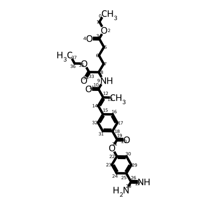 CCOC(=O)CCCC(NC(=O)/C(C)=C/c1ccc(C(=O)Oc2ccc(C(=N)N)cc2)cc1)C(=O)OCC